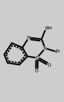 CC(C)N1C(C(C)(C)C)=Nc2ccccc2S1(=O)=O